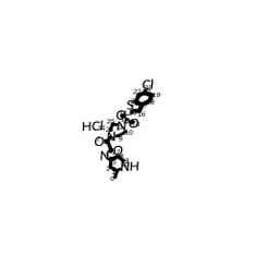 CC1Cc2nc(C(=O)N3CCN(S(=O)(=O)c4cc5ccc(Cl)cc5s4)CC3)oc2CN1.Cl